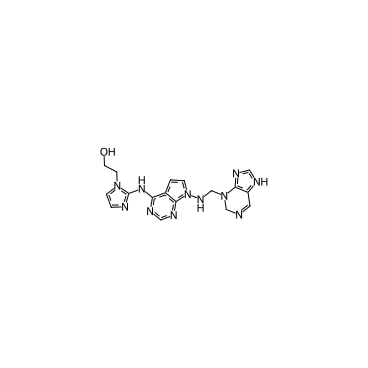 OCCn1ccnc1Nc1ncnc2c1ccn2NCN1CN=Cc2[nH]cnc21